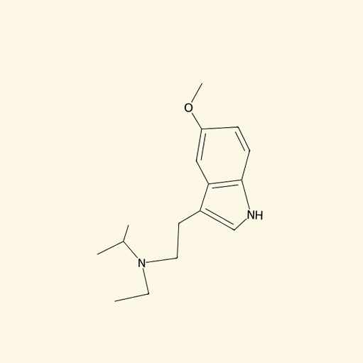 CCN(CCc1c[nH]c2ccc(OC)cc12)C(C)C